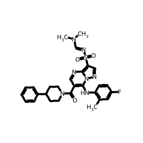 Cc1cc(F)ccc1Nc1c(C(=O)N2CCC(c3ccccc3)CC2)cnc2c(S(=O)(=O)N=CN(C)C)cnn12